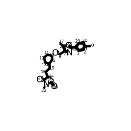 Cc1ccc(-c2nc(COC3CCCC(CCC4SC(=O)N(C)C4=O)C3)c(C)o2)cc1